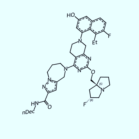 CCCCCCCCCCNC(=O)c1cc2n(n1)CCCN(c1nc(OC[C@@]34CCCN3C[C@H](F)C4)nc3c1CCN(c1cc(O)cc4ccc(F)c(CC)c14)C3)C2